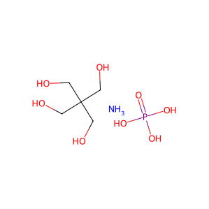 N.O=P(O)(O)O.OCC(CO)(CO)CO